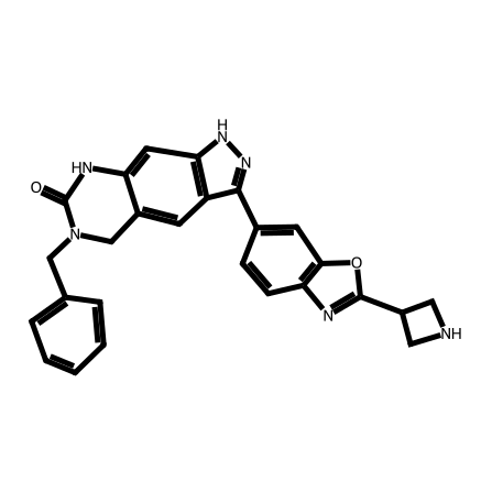 O=C1Nc2cc3[nH]nc(-c4ccc5nc(C6CNC6)oc5c4)c3cc2CN1Cc1ccccc1